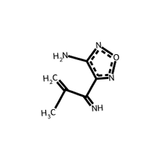 C=C(C)C(=N)c1nonc1N